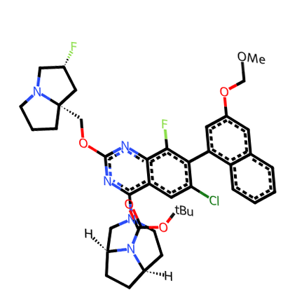 COCOc1cc(-c2c(Cl)cc3c(N4CC[C@H]5CC[C@@H](C4)N5C(=O)OC(C)(C)C)nc(OC[C@]45CCCN4C[C@H](F)C5)nc3c2F)c2ccccc2c1